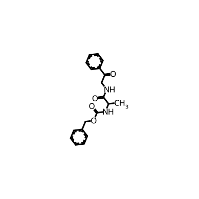 CC(NC(=O)OCc1ccccc1)C(=O)NCC(=O)c1ccccc1